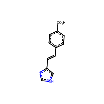 O=C(O)c1ccc(C=Cc2c[nH]cn2)cc1